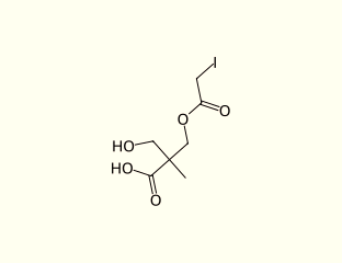 CC(CO)(COC(=O)CI)C(=O)O